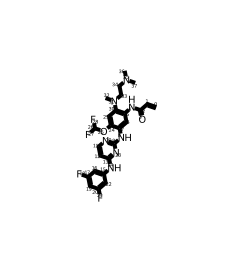 C=CC(=O)Nc1cc(Nc2nccc(Nc3cc(F)cc(F)c3)n2)c(OC(F)F)cc1N(C)CCN(C)C